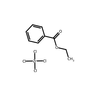 CCOC(=O)c1ccccc1.[Cl][Zr]([Cl])([Cl])[Cl]